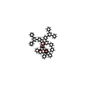 c1ccc(-c2cc(-c3cccc(-c4cccc(N5c6ccccc6B6c7ccccc7N(c7ccccc7)c7cccc5c76)c4)c3)nc(-c3cc(-c4nc(-c5ccccc5)nc(-c5ccccc5)n4)ccc3-n3c4ccc(-c5nc(-c6ccccc6)nc(-c6ccccc6)n5)cc4c4cc(-c5nc(-c6ccccc6)nc(-c6ccccc6)n5)ccc43)n2)cc1